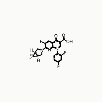 C[C@@H]1[C@H]2CN(c3nc4c(cc3F)c(=O)c(C(=O)O)cn4-c3ccc(F)cc3F)C[C@@H]12